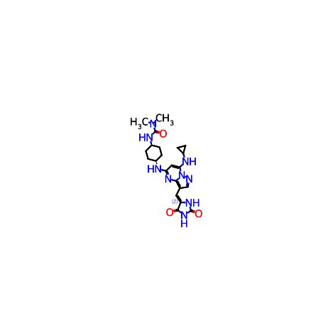 CN(C)C(=O)N[C@H]1CC[C@H](Nc2cc(NC3CC3)n3ncc(/C=C4\NC(=O)NC4=O)c3n2)CC1